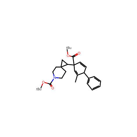 CC1=CC(C(=O)OC(C)(C)C)(C2CC23CCN(C(=O)OC(C)(C)C)CC3)C=CC1c1ccccc1